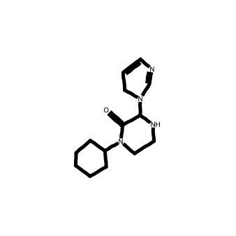 O=C1C(N2C=NC=CC2)NCCN1C1CCCCC1